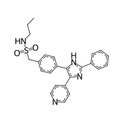 CCCNS(=O)(=O)Cc1ccc(-c2[nH]c(-c3ccccc3)nc2-c2ccncc2)cc1